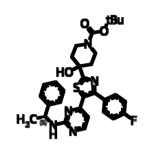 C[C@H](Nc1nccc(-c2sc(C3(O)CCN(C(=O)OC(C)(C)C)CC3)nc2-c2ccc(F)cc2)n1)c1ccccc1